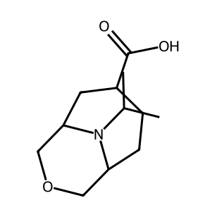 CC(C)N1C2CCC(C(=O)O)CC1COC2